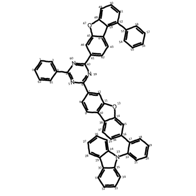 c1ccc(-c2nc(-c3ccc4c(c3)oc3cc(-c5ccccc5-n5c6ccccc6c6ccccc65)ccc34)nc(-c3ccc4c(c3)oc3cccc(-c5ccccc5)c34)n2)cc1